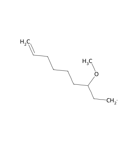 [CH2]CC(CCCCC=C)OC